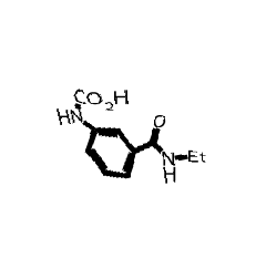 CCNC(=O)c1cccc(NC(=O)O)c1